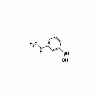 CNc1cccc(BO)c1